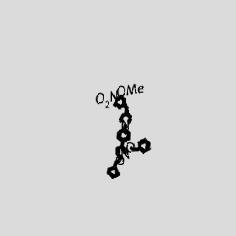 COc1cc(C=C2CCN(c3ccc(-c4ccc(OCc5ccccc5)nc4OCc4ccccc4)cc3)CC2)ccc1[N+](=O)[O-]